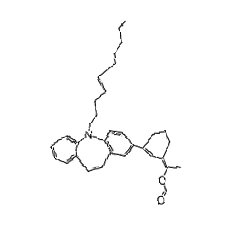 CCCCCCCCCCN1c2ccccc2CCc2cc(C3=C/C(=C(/C)OC=O)CCC3)ccc21